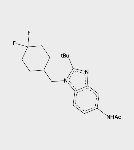 CC(=O)Nc1ccc2c(c1)nc(C(C)(C)C)n2CC1CCC(F)(F)CC1